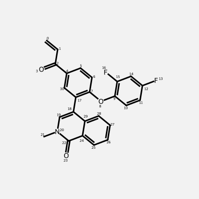 C=CC(=O)c1ccc(Oc2ccc(F)cc2F)c(-c2cn(C)c(=O)c3ccccc23)c1